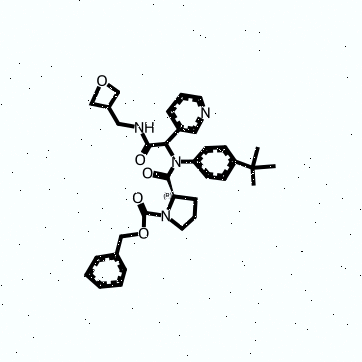 CC(C)(C)c1ccc(N(C(=O)[C@H]2CCCN2C(=O)OCc2ccccc2)C(C(=O)NCC2COC2)c2cccnc2)cc1